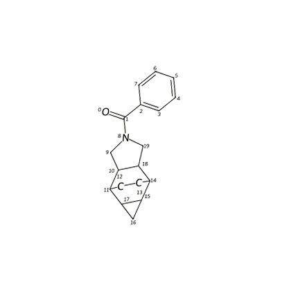 O=C(c1ccccc1)N1CC2C3CCC(C4CC34)C2C1